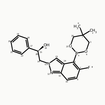 CC1(C)COB(c2c(F)ccc3nn(C[C@H](O)c4ccccc4)cc23)OC1